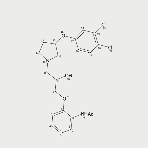 CC(=O)Nc1ccccc1OCC(O)CN1CCC(Oc2ccc(Cl)c(Cl)c2)C1